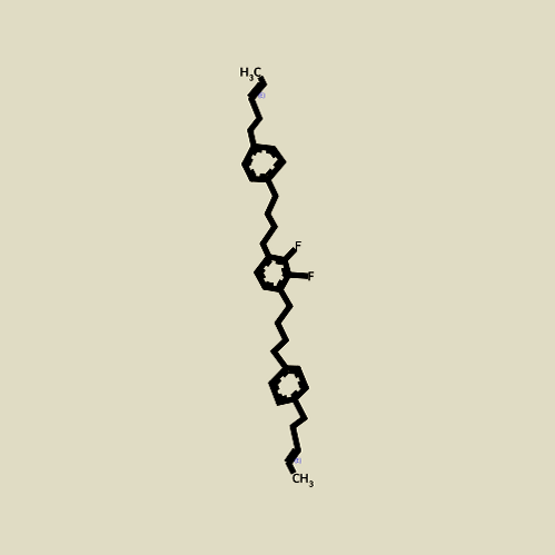 C/C=C/CCc1ccc(CCCCc2ccc(CCCCc3ccc(CC/C=C/C)cc3)c(F)c2F)cc1